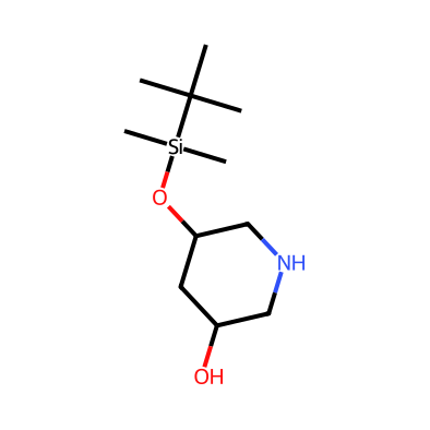 CC(C)(C)[Si](C)(C)OC1CNCC(O)C1